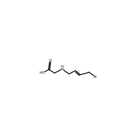 O=C(O)CNC/C=C/CBr